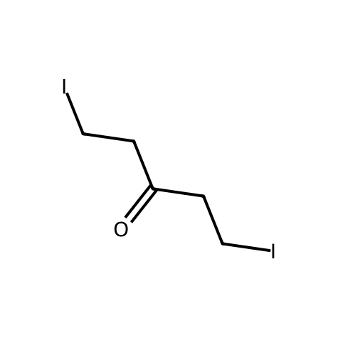 O=C(CCI)CCI